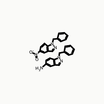 Nc1ccc2c(cnn2Cc2ccccc2)c1.O=[N+]([O-])c1ccc2c(cnn2Cc2ccccc2)c1